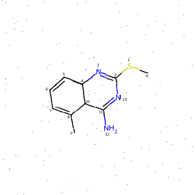 CSC1=NC2C=CC=C(C)C2C(N)=N1